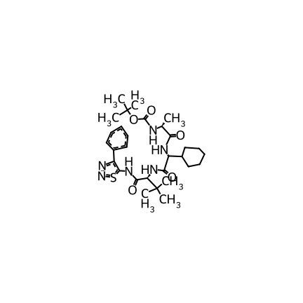 C[C@H](NC(=O)OC(C)(C)C)C(=O)N[C@H](C(=O)N[C@H](C(=O)Nc1snnc1-c1ccccc1)C(C)(C)C)C1CCCCC1